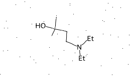 CCN(CC)CCC(C)(C)O